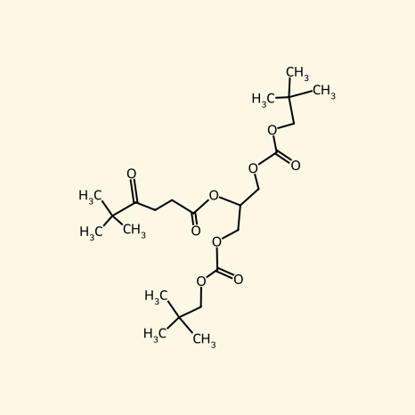 CC(C)(C)COC(=O)OCC(COC(=O)OCC(C)(C)C)OC(=O)CCC(=O)C(C)(C)C